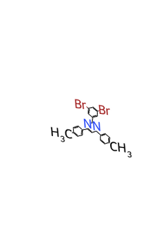 Cc1ccc(-c2cc(-c3ccc(C)cc3)nc(-c3cc(Br)cc(Br)c3)n2)cc1